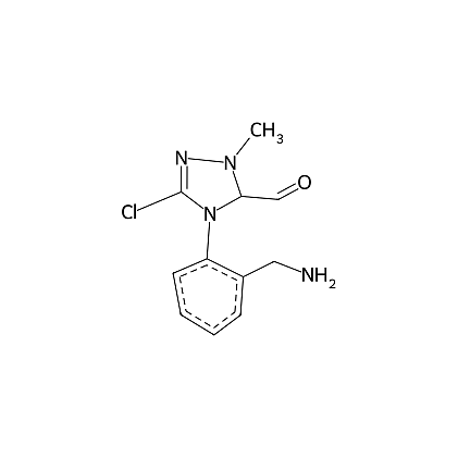 CN1N=C(Cl)N(c2ccccc2CN)C1C=O